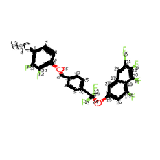 Cc1ccc(OCc2ccc(C(F)(F)Oc3cc(F)c4c(F)c(F)c(F)cc4c3)cc2)c(F)c1F